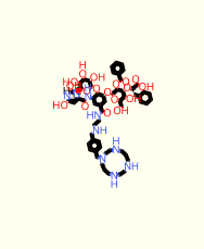 CC1OC(OC2C(NC(=O)c3cc(O)nc(O)n3)CC(C(=O)NCCNCc3ccc(CN4CCCNCCNCCCNCC4)cc3)CC2OC2OC(CO)C(O)C(O[C@@H](CC3CCCCC3)C(=O)O)C2OC(=O)c2ccccc2)C(O)C(O)C1O